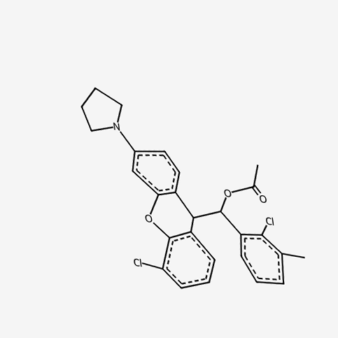 CC(=O)OC(c1cccc(C)c1Cl)C1c2ccc(N3CCCC3)cc2Oc2c(Cl)cccc21